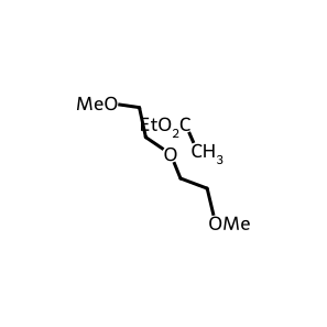 CCOC(C)=O.COCCOCCOC